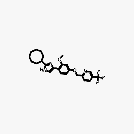 COc1cc(OCc2ccc(C(F)(F)F)cn2)ccc1-c1c[nH]c(C2CCCCCCC2)n1